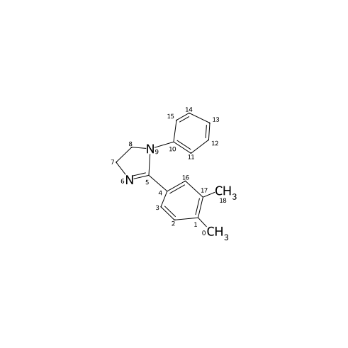 Cc1ccc(C2=NCCN2c2ccccc2)cc1C